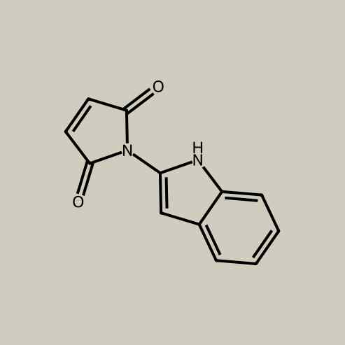 O=C1C=CC(=O)N1c1cc2ccccc2[nH]1